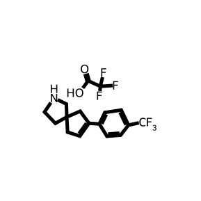 FC(F)(F)c1ccc(C2=CCC3(CCNC3)C2)cc1.O=C(O)C(F)(F)F